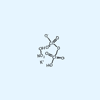 O=[N+]([O-])O.[K+].[O]=[Cr](=[O])([O-])[O][Cr](=[O])(=[O])[OH]